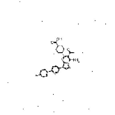 CC(=O)c1c(N)n2ncc(-c3ccc(-c4ccc(F)cc4)nc3)c2nc1[C@H]1CC[C@H](C(=O)O)CC1